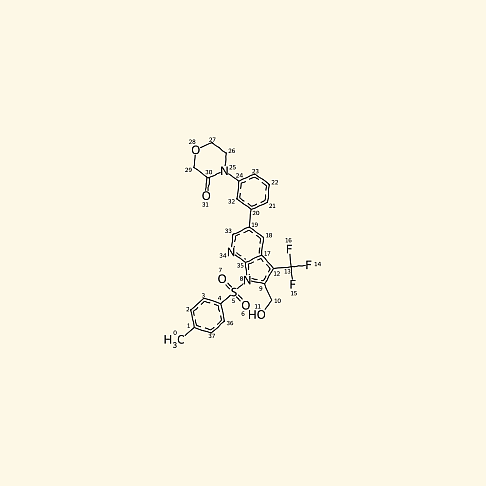 Cc1ccc(S(=O)(=O)n2c(CO)c(C(F)(F)F)c3cc(-c4cccc(N5CCOCC5=O)c4)cnc32)cc1